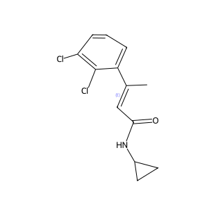 C/C(=C\C(=O)NC1CC1)c1cccc(Cl)c1Cl